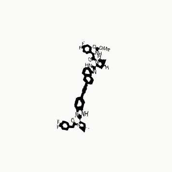 COC(=O)N[C@H](C(=O)N1[C@@H]2C[C@@H]2C[C@H]1c1nc2c(ccc3cc(C#Cc4ccc5nc([C@@H]6C[C@@]7(C)C=C7N6C(=O)CC6CCC(F)(F)CC6)[nH]c5c4)ccc32)[nH]1)C1CCC(F)(F)CC1